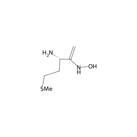 C=C(NO)[C@@H](N)CCSC